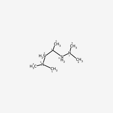 CC([SiH2]N(C)C)[SiH2]N(C)C